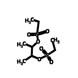 CCS(=O)(=O)OC(C)C(C)OS(=O)(=O)CC